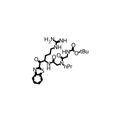 CCCN(CC(=O)NC(CCCNC(=N)N)C(=O)c1nc2ccccc2s1)C(=O)CNC(=O)OC(C)(C)C